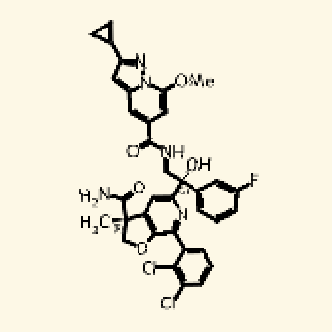 COc1cc(C(=O)NC[C@@](O)(c2cccc(F)c2)c2cc3c(c(-c4cccc(Cl)c4Cl)n2)OC[C@]3(C)C(N)=O)cc2cc(C3CC3)nn12